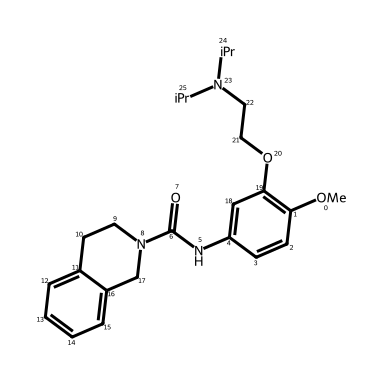 COc1ccc(NC(=O)N2CCc3ccccc3C2)cc1OCCN(C(C)C)C(C)C